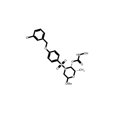 COC1CN(S(=O)(=O)c2ccc(OCc3cccc(Cl)c3)cc2)[C@H](OC(=O)NO)[C@H](C)O1